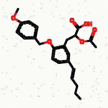 CCCC=Cc1ccc(OCc2ccc(OC)cc2)c(CC(OC(C)=O)C(=O)O)c1